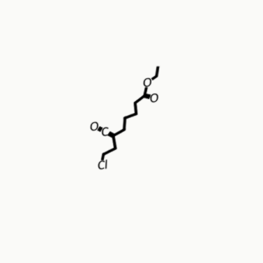 CCOC(=O)CCCCC(=C=O)CCCl